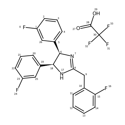 Fc1cccc([C@H]2N=C(Cc3ccccc3F)N[C@H]2c2cccc(F)c2)c1.O=C(O)C(F)(F)F